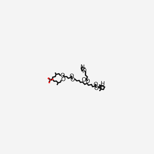 CC(C)=CCCC(C)CCOC(CCC(=O)OCCCCCCC(CCCC(=O)O[C@@H]1C[C@@H]2CCC1(C)C2(C)C)OC(=O)CCCn1ccnc1)OCCC(C)CCC=C(C)C